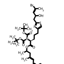 C/C(Br)=C\C(O)Cc1nc(CCC[C@@H](C(=O)OC(C)C/C(C)=C/C=C\C=O)N(C(=O)OC(C)(C)C)C(=O)OC(C)(C)C)cs1